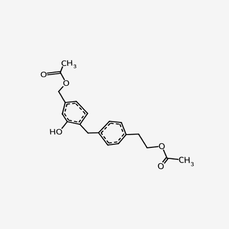 CC(=O)OCCc1ccc(Cc2ccc(COC(C)=O)cc2O)cc1